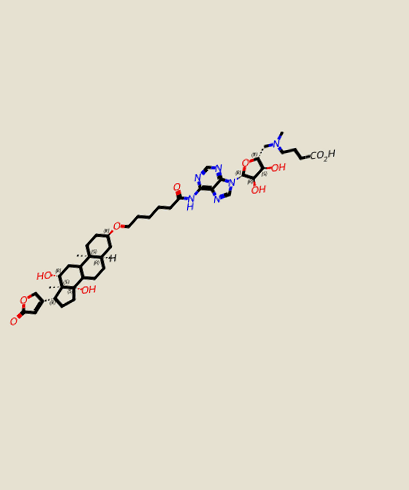 CN(CCCC(=O)O)C[C@H]1O[C@@H](n2cnc3c(NC(=O)CCCCCO[C@@H]4CC[C@]5(C)C6C[C@@H](O)[C@]7(C)[C@@H](C8=CC(=O)OC8)CC[C@]7(O)C6CC[C@@H]5C4)ncnc32)[C@H](O)[C@@H]1O